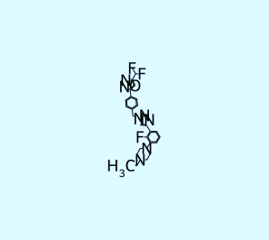 CCN1CCN(c2cccc(-c3cn(Cc4ccc(-c5nnc(C(F)F)o5)cc4)nn3)c2F)CC1